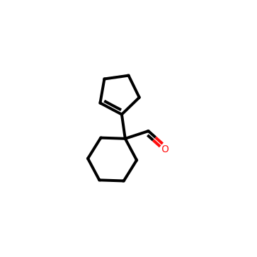 O=CC1(C2=CCCC2)CCCCC1